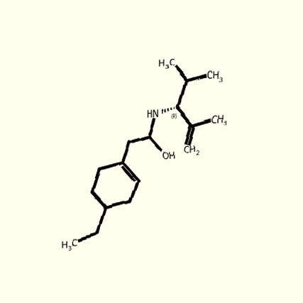 C=C(C)[C@H](NC(O)CC1=CCC(CC)CC1)C(C)C